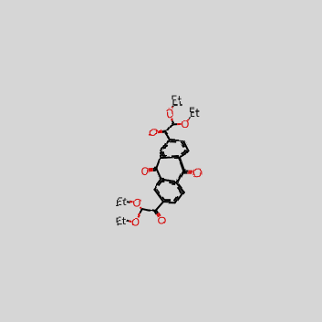 CCOC(OCC)C(=O)c1ccc2c(c1)C(=O)c1cc(C(=O)C(OCC)OCC)ccc1C2=O